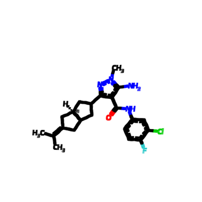 CC(C)=C1CC2CC(c3nn(C)c(N)c3C(=O)Nc3ccc(F)c(Cl)c3)C[C@@H]2C1